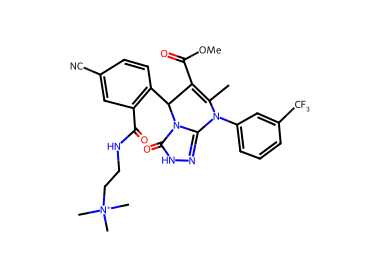 COC(=O)C1=C(C)N(c2cccc(C(F)(F)F)c2)c2n[nH]c(=O)n2C1c1ccc(C#N)cc1C(=O)NCC[N+](C)(C)C